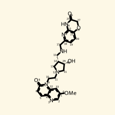 COc1cnc2ccc(=O)n(CCN3C[C@H](CNCc4ccc5c(n4)NC(=O)CO5)[C@H](O)C3)c2c1